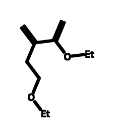 C=C(CCOCC)C(=C)OCC